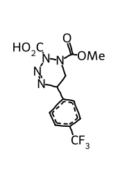 COC(=O)N1CC(c2ccc(C(F)(F)F)cc2)N=NN1C(=O)O